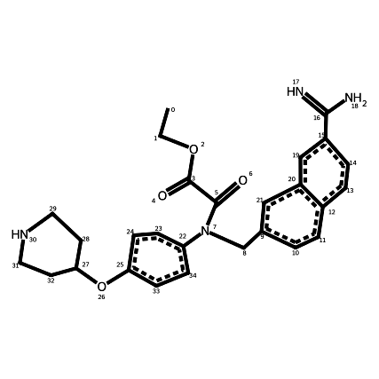 CCOC(=O)C(=O)N(Cc1ccc2ccc(C(=N)N)cc2c1)c1ccc(OC2CCNCC2)cc1